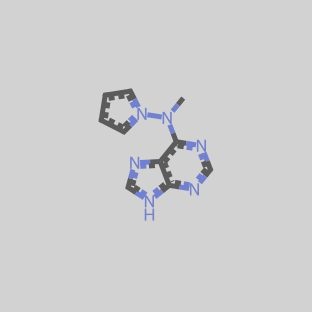 CN(c1ncnc2[nH]cnc12)n1cccc1